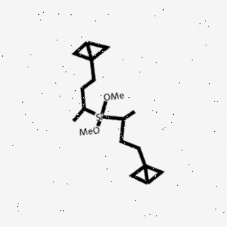 CO[Si](OC)(C(C)CCC12CC1C2)C(C)CCC12CC1C2